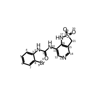 O=C(Nc1ccccc1Br)Nc1cncc2c1NS(=O)(=O)C2